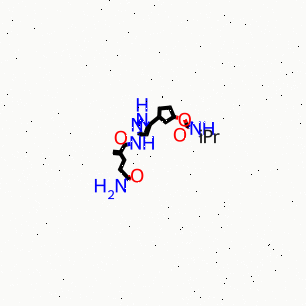 C=C(CCC(N)=O)C(=O)Nc1cc(C2CCC(OC(=O)NC(C)C)C2)[nH]n1